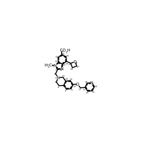 Cn1c(CN2CCc3ccc(OCc4cccnc4)cc3C2)nc2c(C3CCO3)cc(C(=O)O)cc21